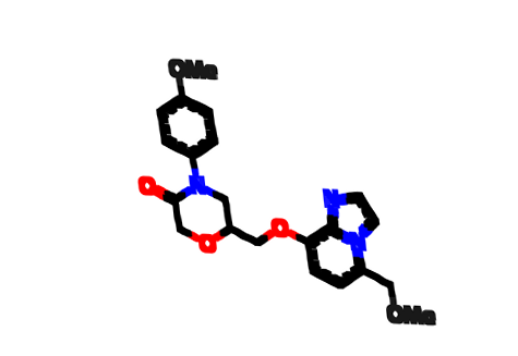 COCc1ccc(OCC2CN(c3ccc(OC)cc3)C(=O)CO2)c2nccn12